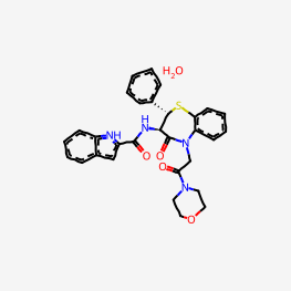 O.O=C(N[C@@H]1C(=O)N(CC(=O)N2CCOCC2)c2ccccc2S[C@H]1c1ccccc1)c1cc2ccccc2[nH]1